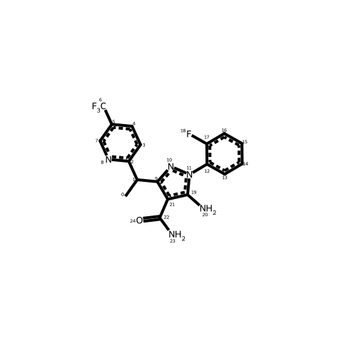 CC(c1ccc(C(F)(F)F)cn1)c1nn(-c2ccccc2F)c(N)c1C(N)=O